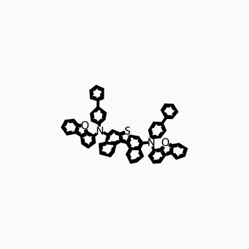 c1ccc(-c2ccc(N(c3cc4sc5cc(N(c6ccc(-c7ccccc7)cc6)c6cccc7c6oc6ccccc67)c6ccccc6c5c4c4ccccc34)c3cccc4c3oc3ccccc34)cc2)cc1